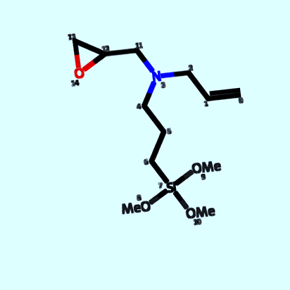 C=CCN(CCC[Si](OC)(OC)OC)CC1CO1